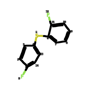 Fc1ccc(Sc2ccccc2F)cc1